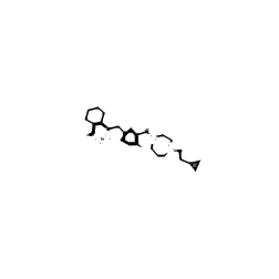 O=C(C(=O)N1CCCN(C(=O)c2cc(Cc3n[nH]c(=O)c4c3CCCC4)ccc2F)CC1)C1CC1